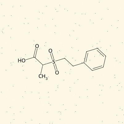 CC(C(=O)O)S(=O)(=O)CCc1ccccc1